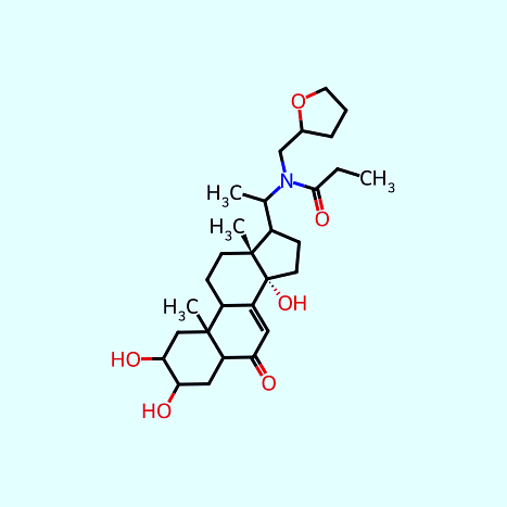 CCC(=O)N(CC1CCCO1)C(C)C1CC[C@@]2(O)C3=CC(=O)C4CC(O)C(O)CC4(C)C3CC[C@]12C